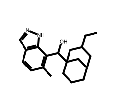 CCC1CC2CCCC(C(O)c3c(C)ccc4cn[nH]c34)(C1)C2